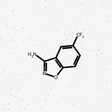 Nc1noc2ccc(C(F)(F)F)cc12